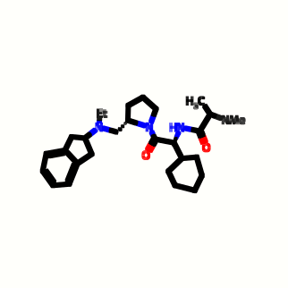 CCN(C[C@@H]1CCCN1C(=O)[C@@H](NC(=O)C(C)NC)C1CCCCC1)C1Cc2ccccc2C1